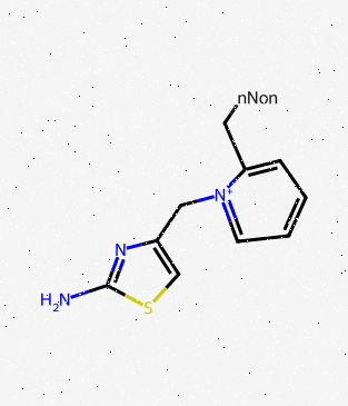 CCCCCCCCCCc1cccc[n+]1Cc1csc(N)n1